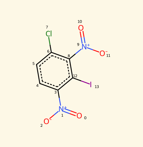 O=[N+]([O-])c1ccc(Cl)c([N+](=O)[O-])c1I